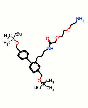 CC(C)(C)[Si](C)(C)OCc1ccc(-c2ccc(CO[Si](C)(C)C(C)(C)C)cc2CCCNC(=O)COCCOCCN)cc1